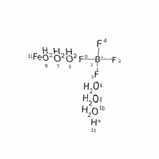 F[B-](F)(F)F.O.O.O.O.O.O.[Fe].[H+]